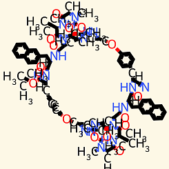 C[C@@H](C(=O)N[C@H](C(=O)N1C[C@@H]2C[C@H]1C(=O)N[C@@H](Cc1ccc3ccccc3c1)C(=O)N[C@H](C#N)Cc1ccc(cc1)OCc1cn(nn1)[C@H]1C[C@@H](C(=O)N[C@@H](Cc3ccc4ccccc4c3)C(=O)N[C@H](C(=O)OC(C)(C)C)Cc3ccc(cc3)OCc3cn2nn3)N(C(=O)[C@@H](NC(=O)[C@H](C)N(C)C(=O)OC(C)(C)C)C(C)(C)C)C1)C(C)(C)C)N(C)C(=O)OC(C)(C)C